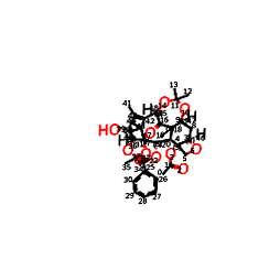 CC(=O)O[C@@]12CO[C@@H]1C[C@@H]1OC(C)(C)O[C@H]3C(=O)[C@@]1(C)C2[C@H](OC(=O)c1ccccc1)[C@]12OC(C)(C)O[C@H]1[C@H](O)C(C)=C3C2(C)C